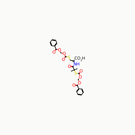 CC(C)(SC(=O)OCOC(=O)c1ccccc1)C(=O)N[C@@H](CSC(=O)OCOC(=O)c1ccccc1)C(=O)O